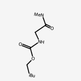 CCC(C)COC(=O)NCC(=O)NC